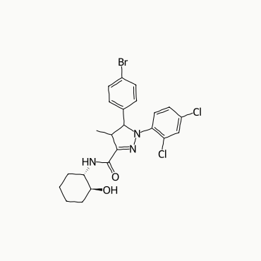 CC1C(C(=O)N[C@H]2CCCC[C@@H]2O)=NN(c2ccc(Cl)cc2Cl)C1c1ccc(Br)cc1